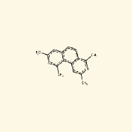 Cc1cc2c(ccc3cc(C)nc(C)c32)c(C)n1